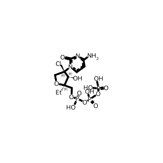 CC[C@]1(COP(=O)(O)OP(=O)(O)OP(=O)(O)O)OC[C@](Cl)(n2ccc(N)nc2=O)[C@@H]1O